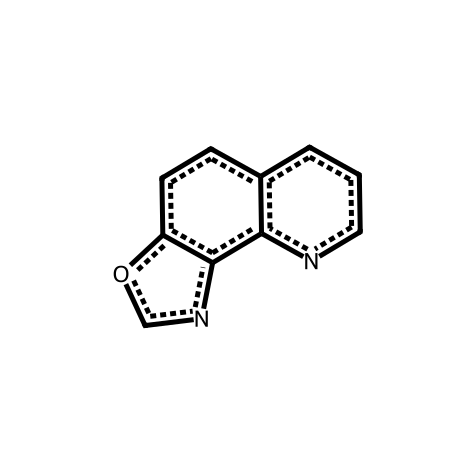 c1cnc2c(c1)ccc1ocnc12